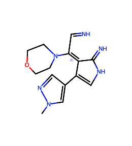 Cn1cc(C2=CNC(=N)/C2=C(\C=N)N2CCOCC2)cn1